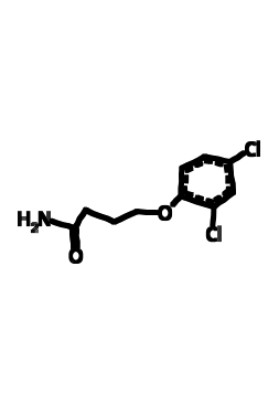 NC(=O)CCCOc1ccc(Cl)cc1Cl